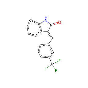 O=C1Nc2ccccc2/C1=C\c1cccc(C(F)(F)F)c1